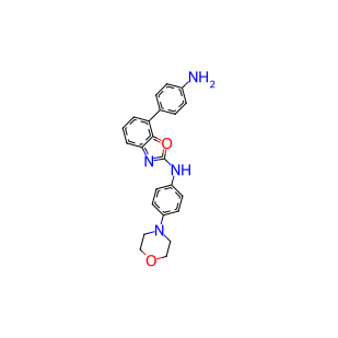 Nc1ccc(-c2cccc3nc(Nc4ccc(N5CCOCC5)cc4)oc23)cc1